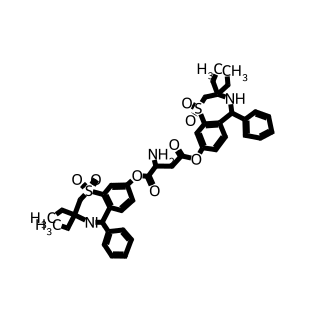 CCC1(CC)CS(=O)(=O)c2cc(OC(=O)CC(N)C(=O)Oc3ccc4c(c3)S(=O)(=O)CC(CC)(CC)NC4c3ccccc3)ccc2C(c2ccccc2)N1